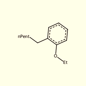 CCCCCCc1ccccc1OCC